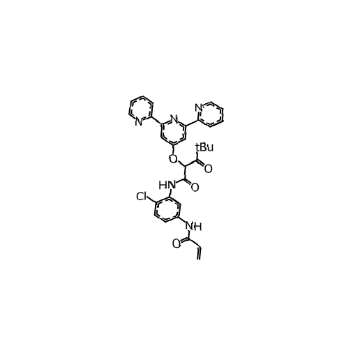 C=CC(=O)Nc1ccc(Cl)c(NC(=O)C(Oc2cc(-c3ccccn3)nc(-c3ccccn3)c2)C(=O)C(C)(C)C)c1